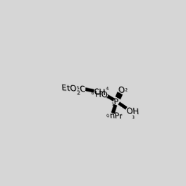 CCCP(=O)(O)O.CCOC(C)=O